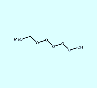 COCOOOOOO